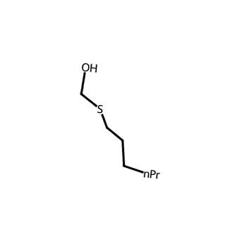 CCCCCCSCO